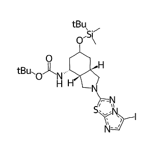 CC(C)(C)OC(=O)N[C@@H]1CC(O[Si](C)(C)C(C)(C)C)C[C@@H]2CN(c3nn4c(I)cnc4s3)C[C@@H]21